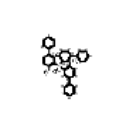 Cc1ccc(-c2ccccc2)cc1[Si](Cl)(c1cc(-c2ccccc2)ccc1C)c1cc(-c2ccccc2)ccc1C